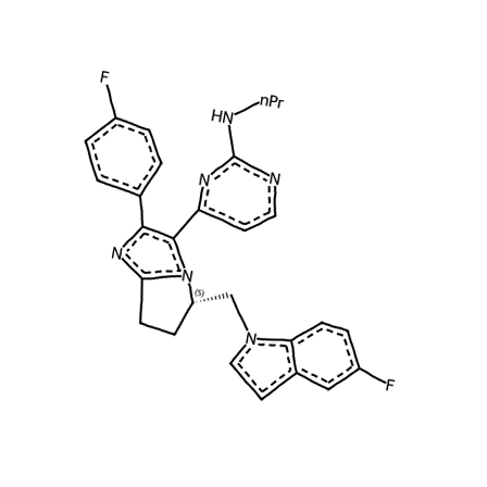 CCCNc1nccc(-c2c(-c3ccc(F)cc3)nc3n2[C@H](Cn2ccc4cc(F)ccc42)CC3)n1